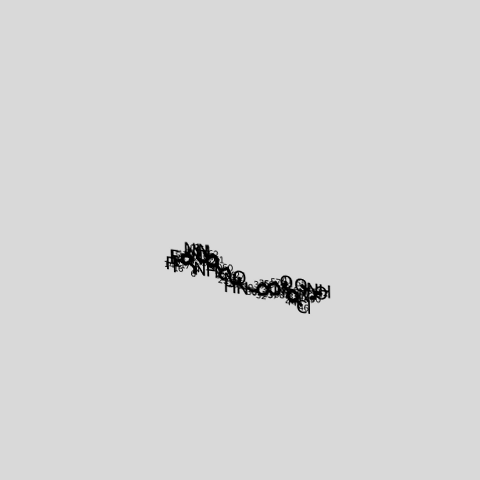 Cc1nc(NC(C)c2cc(N)cc(C(F)(F)F)c2)c2cc(C3CCN(CC(=O)NCCC4CCC5(CC4)CCN(C(=O)c4ccc(Cl)c(N6CCC(=O)NC6=O)c4)CC5)CC3)ccc2n1